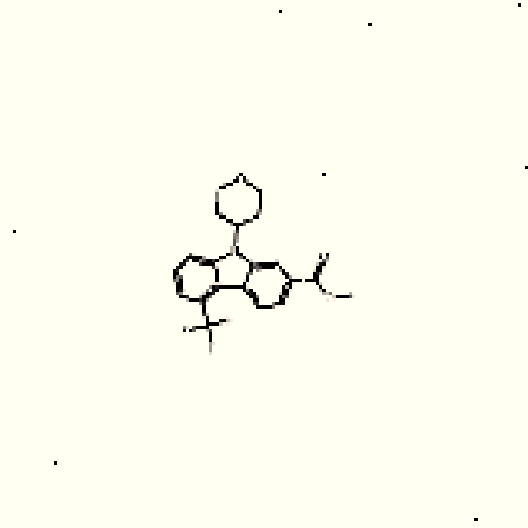 COC(=O)c1ccc2c3c(C(F)(F)F)cccc3n(C3CCOCC3)c2c1